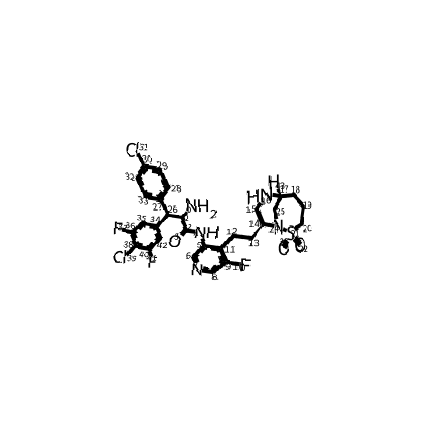 NC(C(=O)Nc1cncc(F)c1CC[C@H]1CN[C@@H]2CCCS(=O)(=O)N1C2)C(c1ccc(Cl)cc1)c1cc(F)c(Cl)c(F)c1